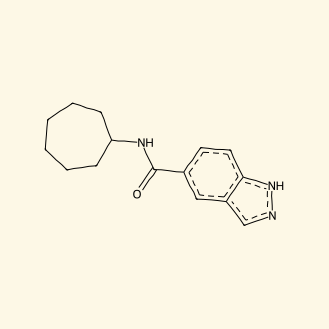 O=C(NC1CCCCCC1)c1ccc2[nH]ncc2c1